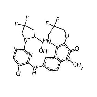 Cn1c(=O)c2c(c3cc(Nc4nc(N5CC(F)(F)CC5CO)ncc4Cl)ccc31)NCC(F)(F)CO2